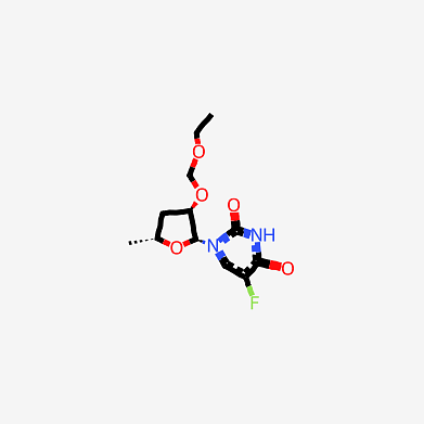 CCOCO[C@@H]1C[C@@H](C)O[C@H]1n1cc(F)c(=O)[nH]c1=O